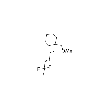 COCC1(CC/C=C/C(C)(F)F)CCCCC1